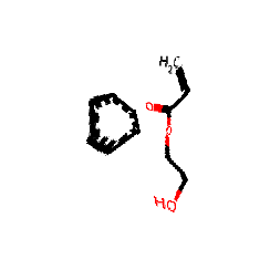 C=CC(=O)OCCO.c1ccccc1